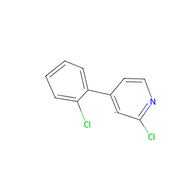 Clc1[c]c(-c2ccccc2Cl)ccn1